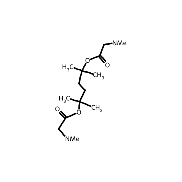 CNCC(=O)OC(C)(C)CCC(C)(C)OC(=O)CNC